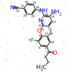 CCCC(=O)c1cc(F)c(Oc2ccc(N)c(Nc3ccc(C#N)cc3)n2)c(F)c1